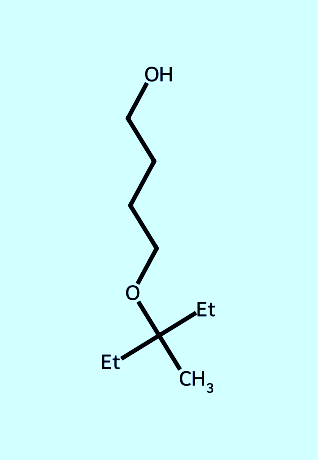 CCC(C)(CC)OCCCCO